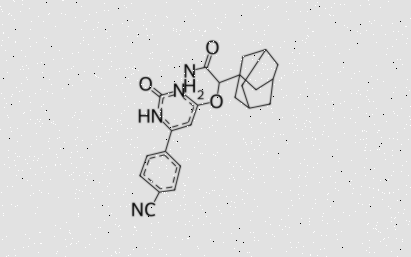 N#Cc1ccc(-c2cc(OC(C(N)=O)C34CC5CC(CC(C5)C3)C4)nc(=O)[nH]2)cc1